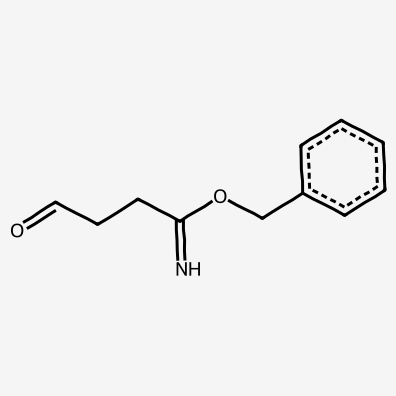 N=C(CCC=O)OCc1ccccc1